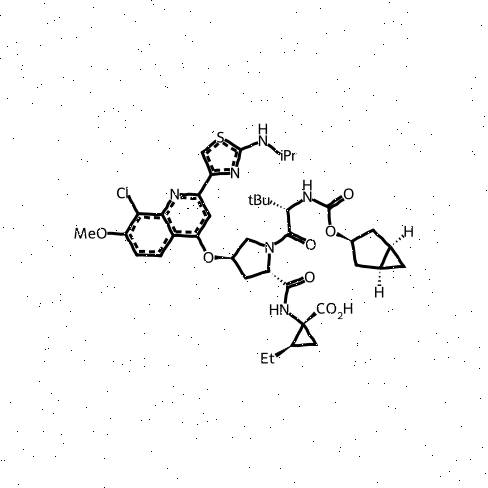 CC[C@@H]1C[C@]1(NC(=O)[C@@H]1C[C@@H](Oc2cc(-c3csc(NC(C)C)n3)nc3c(Cl)c(OC)ccc23)CN1C(=O)[C@@H](NC(=O)O[C@@H]1C[C@@H]2C[C@@H]2C1)C(C)(C)C)C(=O)O